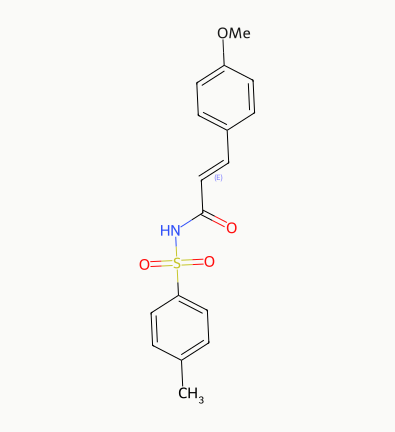 COc1ccc(/C=C/C(=O)NS(=O)(=O)c2ccc(C)cc2)cc1